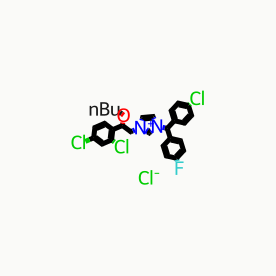 CCCCOC(C[n+]1ccn(C(c2ccc(F)cc2)c2ccc(Cl)cc2)c1)c1ccc(Cl)cc1Cl.[Cl-]